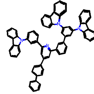 c1ccc(-c2ccc(-c3cc(-c4cccc(-c5cc(-n6c7ccccc7c7ccccc76)cc(-n6c7ccccc7c7ccccc76)c5)c4)nc(-c4cccc(-n5c6ccccc6c6ccccc65)c4)c3)cc2)cc1